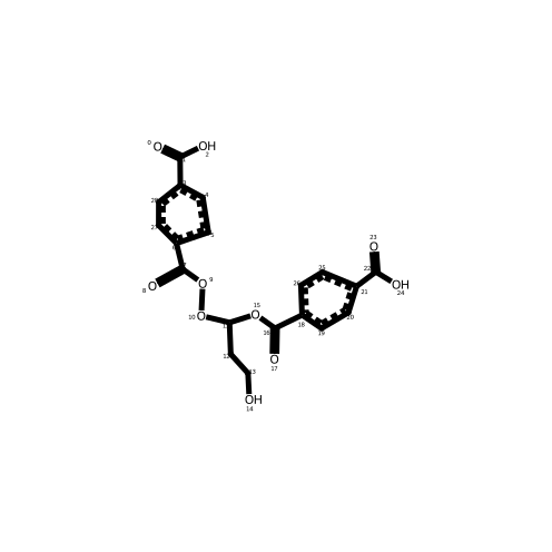 O=C(O)c1ccc(C(=O)OOC(CCO)OC(=O)c2ccc(C(=O)O)cc2)cc1